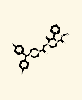 CC(C)(C)OC(=O)N1CCN(CC(=O)N2CCN(C(c3ccc(F)cc3)c3ccc(F)cc3)CC2)C(=O)C1c1ccccc1